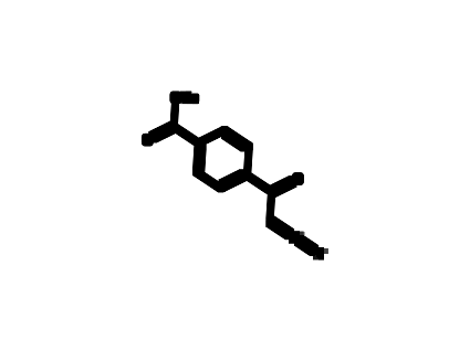 COC(=O)c1ccc(C(=O)C=[N+]=[N-])cc1